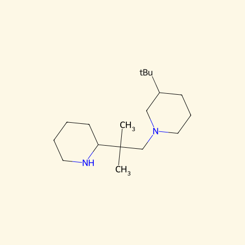 CC(C)(C)C1CCCN(CC(C)(C)C2CCCCN2)C1